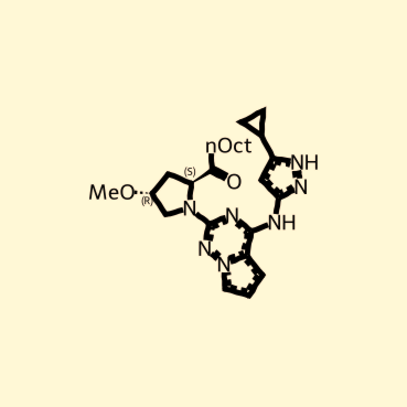 CCCCCCCCC(=O)[C@@H]1C[C@@H](OC)CN1c1nc(Nc2cc(C3CC3)[nH]n2)c2cccn2n1